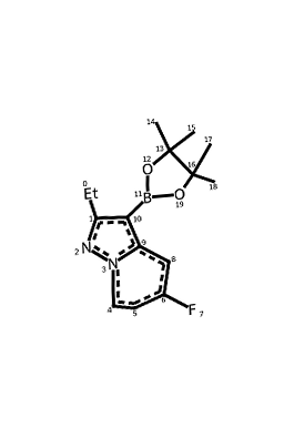 CCc1nn2ccc(F)cc2c1B1OC(C)(C)C(C)(C)O1